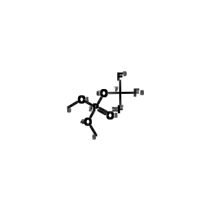 COP(=O)(OC)OC(F)(F)F